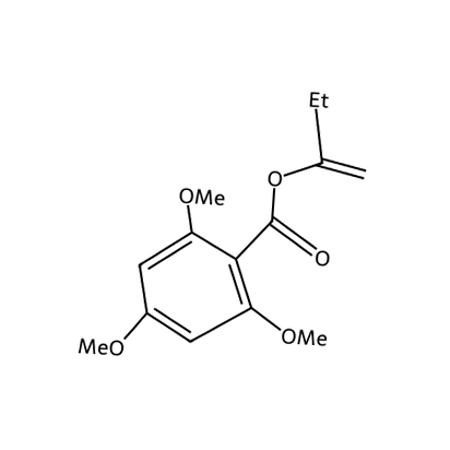 C=C(CC)OC(=O)c1c(OC)cc(OC)cc1OC